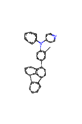 Cc1cc(-c2ccc3c4c(cccc24)-c2ccccc2-3)ccc1N(c1ccccc1)c1ccncc1